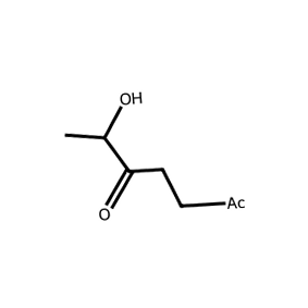 CC(=O)CCC(=O)C(C)O